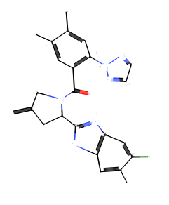 C=C1CC(c2nc3cc(Cl)c(C(F)(F)F)cc3[nH]2)N(C(=O)c2cc(C)c(C)cc2-n2nccn2)C1